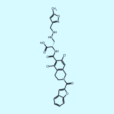 Cc1cc(CNNC[C@H](NC(=O)c2c(Cl)cc3c(c2Cl)CCN(C(=O)c2cc4ccccc4o2)C3)C(=O)O)no1